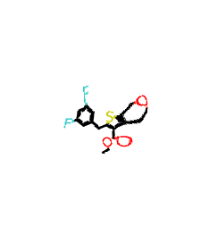 CCOC(=O)c1c(Cc2cc(F)cc(F)c2)sc2c1CCOC2